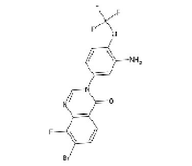 Nc1cc(-n2cnc3c(F)c(Br)ccc3c2=O)ccc1OC(F)(F)F